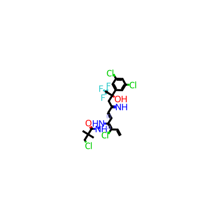 C=C/C(Cl)=C(\C=C\C(=N)CC(O)(c1cc(Cl)cc(Cl)c1)C(F)(F)F)NNC(=O)C(C)(C)CCl